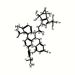 Cc1n[nH]c2cccc(-c3ccc(C#CC(C)(C)O)nc3[C@H](Cc3cc(F)cc(F)c3)NC(=O)Cn3nc(C(F)(F)F)c4c3C(F)(F)C3C[C@H]43)c12